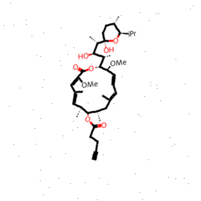 C#CCCC(=O)O[C@@H]1[C@H](C)/C=C(C)/C=C(\OC)C(=O)O[C@H]([C@@H](C)[C@@H](O)[C@H](C)[C@@]2(O)CC[C@H](C)[C@@H](C(C)C)O2)[C@@H](OC)/C=C/C=C(\C)C[C@@H]1C